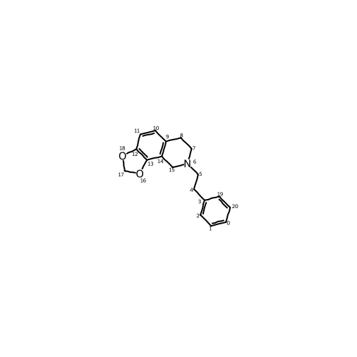 c1ccc(CCN2CCc3ccc4c(c3C2)OCO4)cc1